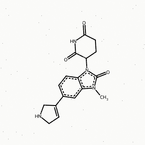 Cn1c(=O)n(C2CCC(=O)NC2=O)c2ccc(C3=CCNC3)cc21